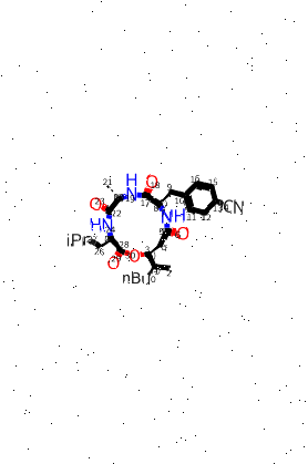 CCCC[C@H](C)[C@@H]1CC(=O)N[C@H](CC2=CCC(C#N)C=C2)C(=O)N[C@@H](C)C(=O)N[C@H](CC(C)C)C(=O)O1